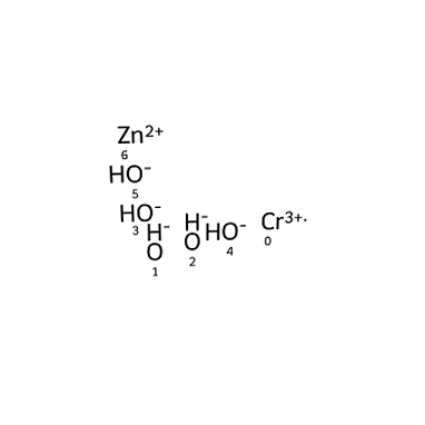 [Cr+3].[OH-].[OH-].[OH-].[OH-].[OH-].[Zn+2]